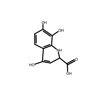 O=C(O)C1C=C(O)c2ccc(O)c(O)c2N1